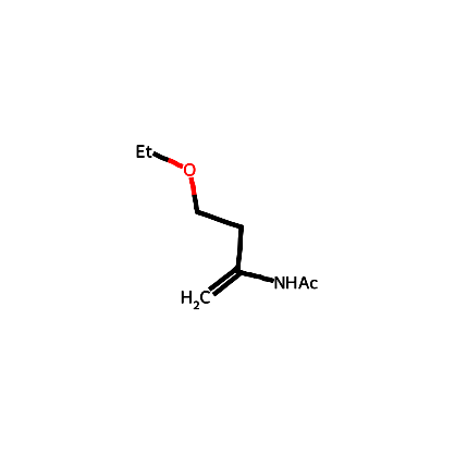 C=C(CCOCC)NC(C)=O